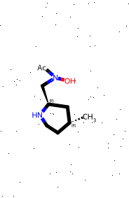 CC(=O)N(O)C[C@H]1C[C@H](C)CCN1